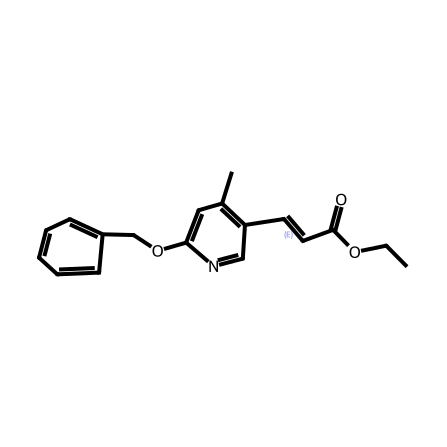 CCOC(=O)/C=C/c1cnc(OCc2ccccc2)cc1C